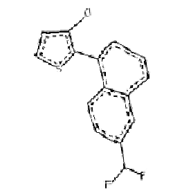 FC(F)c1ccc2c(-c3sccc3Cl)cccc2c1